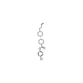 C=CCC[C@H]1CC[C@H](C2CCC(C(=O)Oc3ccc(Cl)cc3)CC2)CC1